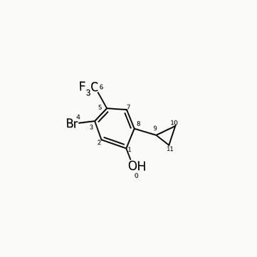 Oc1cc(Br)c(C(F)(F)F)cc1C1CC1